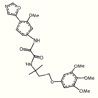 COc1cc(NC(=O)C(=O)NC(C)(C)CCOc2cc(OC)c(OC)c(OC)c2)ccc1-c1cnco1